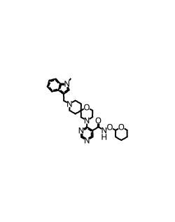 Cn1cc(CN2CCC3(CC2)CN(c2ncncc2C(=O)NOC2CCCCO2)CCO3)c2ccccc21